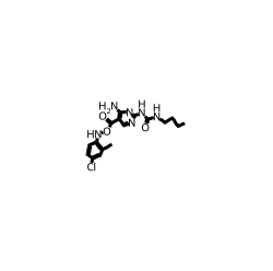 CCCCNC(=O)Nc1ncc(C(=O)ONc2ccc(Cl)cc2C)c(N)n1